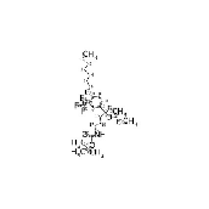 CCCCCCCOc1ccc(C(CC)(CCCNC(=O)OC(C)(C)C)OCOC)cc1C(F)(F)F